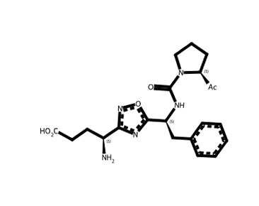 CC(=O)[C@@H]1CCCN1C(=O)N[C@@H](Cc1ccccc1)c1nc([C@@H](N)CCC(=O)O)no1